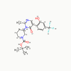 Cc1ncc(-c2ccc(C(F)(F)F)cc2O)c(=O)n1[C@@H]1CCCN(C(=O)OC(C)(C)C)C1